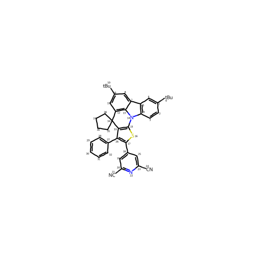 CC(C)(C)c1ccc2c(c1)c1cc(C(C)(C)C)cc3c1n2-c1sc(-c2cc(C#N)nc(C#N)c2)c(-c2ccccc2)c1C31CCCC1